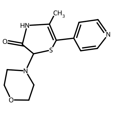 CC1=C(c2ccncc2)SC(N2CCOCC2)C(=O)N1